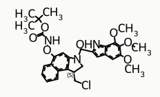 COc1cc2cc(C(=O)N3C[C@@H](CCl)c4c3cc(ONC(=O)OC(C)(C)C)c3ccccc43)[nH]c2c(OC)c1OC